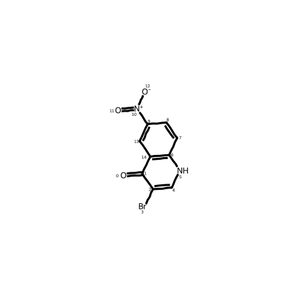 O=c1c(Br)c[nH]c2ccc([N+](=O)[O-])cc12